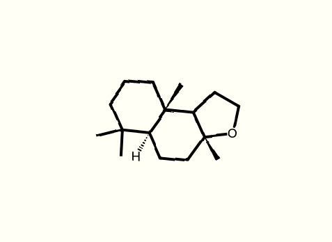 CC1(C)CCC[C@]2(C)C3CCO[C@]3(C)CC[C@@H]12